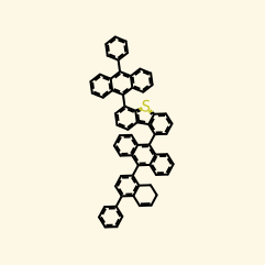 C1=Cc2c(-c3ccccc3)ccc(-c3c4ccccc4c(-c4cccc5sc6c(-c7c8ccccc8c(-c8ccccc8)c8ccccc78)cccc6c45)c4ccccc34)c2CC1